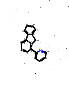 c1ccc(-c2cccc3c2Cc2ccccc2-3)nc1